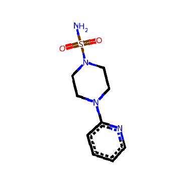 NS(=O)(=O)N1CCN(c2ccccn2)CC1